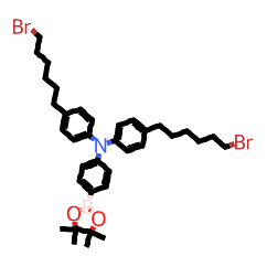 CC1(C)OB(c2ccc(N(c3ccc(CCCCCCBr)cc3)c3ccc(CCCCCCBr)cc3)cc2)OC1(C)C